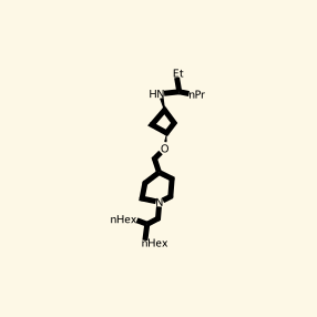 CCCCCCC(CCCCCC)CN1CCC(CO[C@H]2C[C@H](NC(CC)CCC)C2)CC1